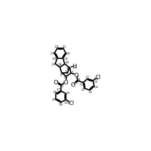 O=C(OC1C2C[C@@H](C1OC(=O)c1cccc(Cl)c1)C1c3ccccc3CC21)c1cccc(Cl)c1